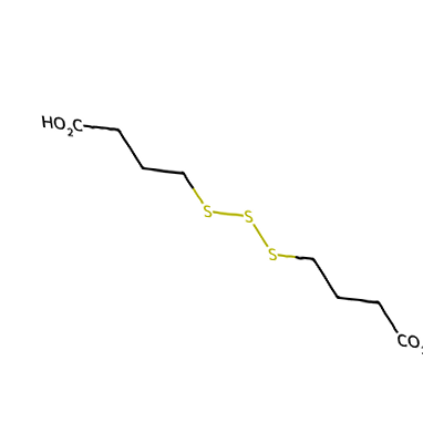 O=C(O)CCCSSSCCCC(=O)O